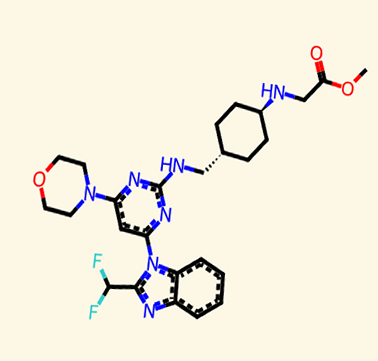 COC(=O)CN[C@H]1CC[C@H](CNc2nc(N3CCOCC3)cc(-n3c(C(F)F)nc4ccccc43)n2)CC1